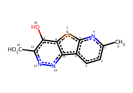 Cc1ccc2c(n1)sc1c(O)c(C(=O)O)nnc12